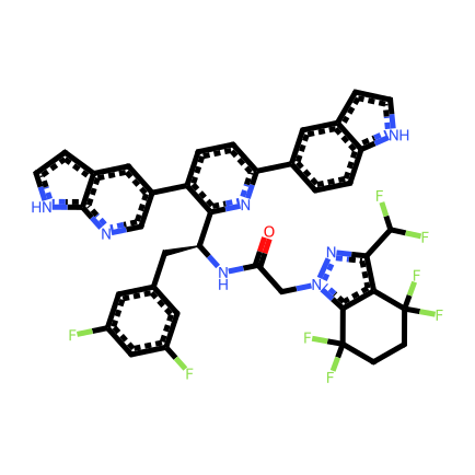 O=C(Cn1nc(C(F)F)c2c1C(F)(F)CCC2(F)F)N[C@@H](Cc1cc(F)cc(F)c1)c1nc(-c2ccc3[nH]ccc3c2)ccc1-c1cnc2[nH]ccc2c1